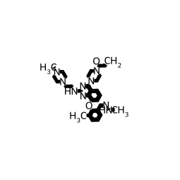 C=CC(=O)N1CCN(c2nc(NCCN3CCN(C)CC3)nc3c(Oc4c(C)cccc4/C=N\NC)cccc23)CC1